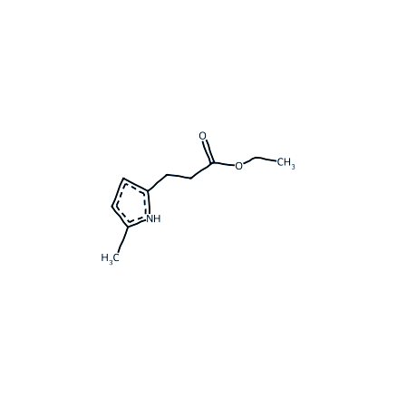 CCOC(=O)CCc1ccc(C)[nH]1